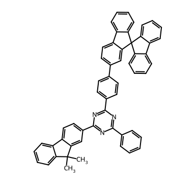 CC1(C)c2ccccc2-c2ccc(-c3nc(-c4ccccc4)nc(-c4ccc(-c5ccc6c(c5)C5(c7ccccc7-c7ccccc75)c5ccccc5-6)cc4)n3)cc21